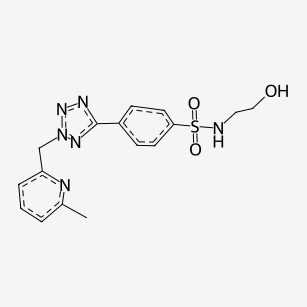 Cc1cccc(Cn2nnc(-c3ccc(S(=O)(=O)NCCO)cc3)n2)n1